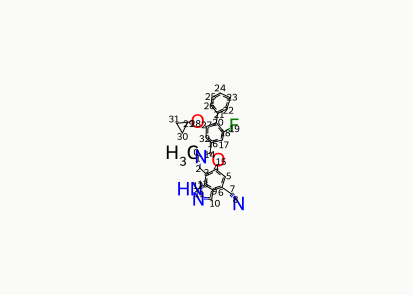 CN(Cc1ccc(C#N)c2cn[nH]c12)C(=O)c1cc(F)c(-c2ccccc2)c(OC2CC2)c1